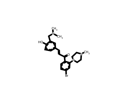 CN(C)Cc1cc(/C=C/C(=O)c2ccc(Br)cc2N2CCN(C)CC2)ccc1O